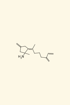 C=CC(=C)CCC/C(C)=C1/CC(=C)CC1(C)N